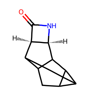 O=C1N[C@H]2C3C4CC5C(C53)C4[C@@H]12